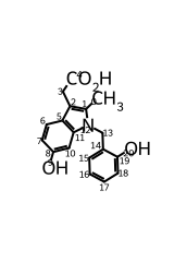 Cc1c(CC(=O)O)c2ccc(O)cc2n1Cc1ccccc1O